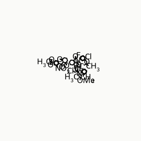 C#CC(C)Oc1cc(N2C(=O)C3=C(CCCC3)C2=O)c(F)cc1Cl.CCc1cccc(C)c1N(C(=O)CCl)C(C)COC.CS(=O)(=O)c1ccc(C(=O)C2C(=O)CCCC2=O)c([N+](=O)[O-])c1